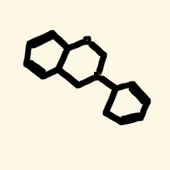 C1=CCC(N2COC3C=CC=CC3C2)C=C1